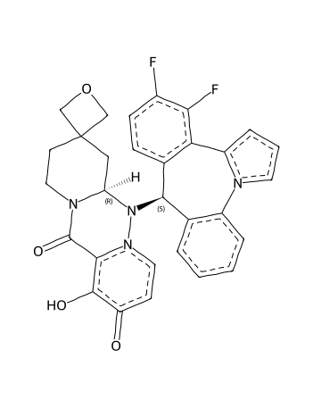 O=C1c2c(O)c(=O)ccn2N([C@@H]2c3ccccc3-n3cccc3-c3c2ccc(F)c3F)[C@@H]2CC3(CCN12)COC3